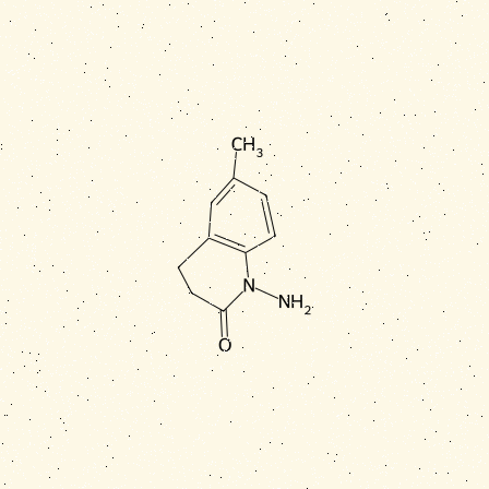 Cc1ccc2c(c1)CCC(=O)N2N